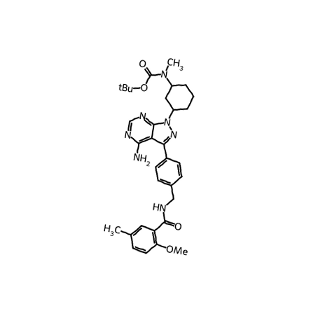 COc1ccc(C)cc1C(=O)NCc1ccc(-c2nn(C3CCCC(N(C)C(=O)OC(C)(C)C)C3)c3ncnc(N)c23)cc1